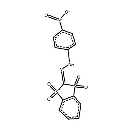 O=[N+]([O-])c1ccc(NN=C2S(=O)(=O)c3ccccc3S2(=O)=O)cc1